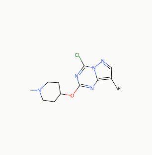 CC(C)c1cnn2c(Cl)nc(OC3CCN(C)CC3)nc12